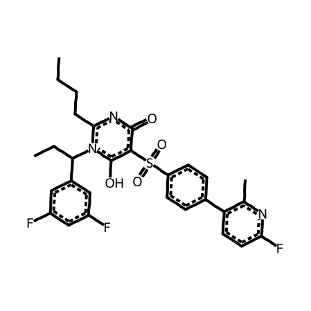 CCCCc1nc(=O)c(S(=O)(=O)c2ccc(-c3ccc(F)nc3C)cc2)c(O)n1C(CC)c1cc(F)cc(F)c1